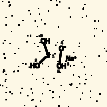 OSO.[Na+].[O-]O